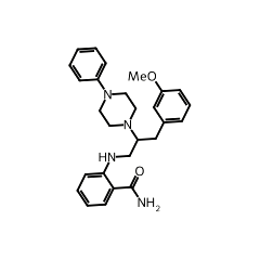 COc1cccc(CC(CNc2ccccc2C(N)=O)N2CCN(c3ccccc3)CC2)c1